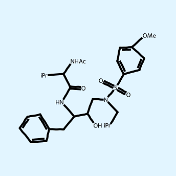 COc1ccc(S(=O)(=O)N(CC(C)C)CC(O)C(Cc2ccccc2)NC(=O)C(NC(C)=O)C(C)C)cc1